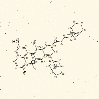 CCc1c(F)ccc2cc(O)cc(-c3c(Cl)cc4c(N5CC6CCC(C5)N6)nc(OCCCN5C6CCCC5CC6)nc4c3F)c12